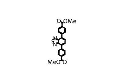 COC(=O)c1ccc(-c2ccc(-c3ccc(C(=O)OC)cc3)c3nsnc23)cc1